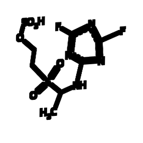 CC(Nc1nc(F)nc(F)n1)S(=O)(=O)CCOS(=O)(=O)O